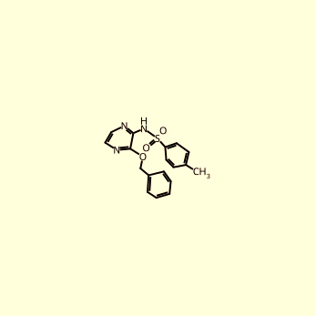 Cc1ccc(S(=O)(=O)Nc2nccnc2OCc2ccccc2)cc1